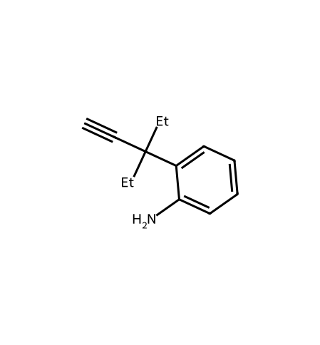 C#CC(CC)(CC)c1ccccc1N